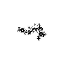 CC(C)(CCCCC1(CCN)CCCN1Cc1cc(-n2cccn2)cc(C(F)(F)F)c1)OC(=O)c1ccn(C(=O)Oc2ccc([N+](=O)[O-])cc2)n1